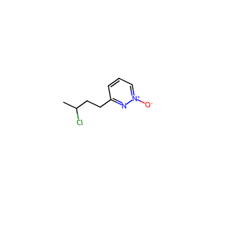 CC(Cl)CCc1ccc[n+]([O-])n1